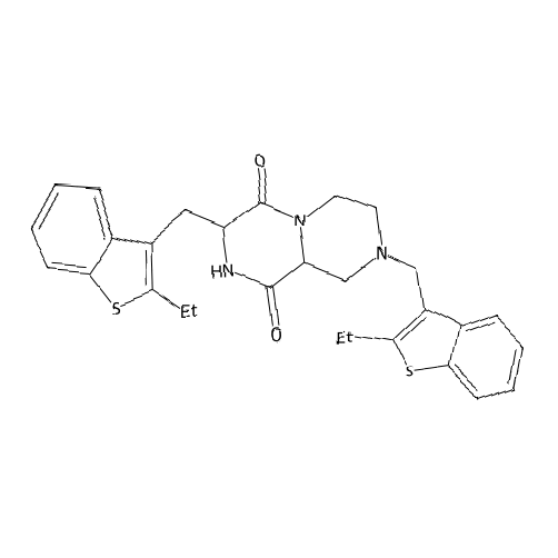 CCc1sc2ccccc2c1CC1NC(=O)C2CN(Cc3c(CC)sc4ccccc34)CCN2C1=O